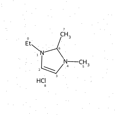 CCN1C=CN(C)C1C.Cl